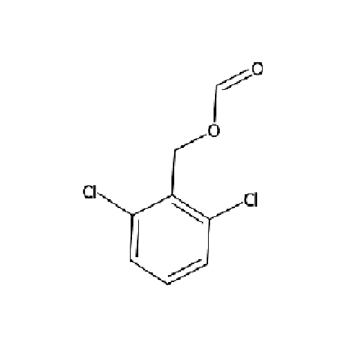 O=COCc1c(Cl)cccc1Cl